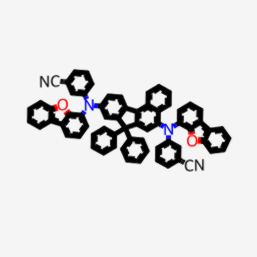 N#Cc1cccc(N(c2ccc3c(c2)C(c2ccccc2)(c2ccccc2)c2cc(N(c4cccc(C#N)c4)c4cccc5c4oc4ccccc45)c4ccccc4c2-3)c2cccc3c2oc2ccccc23)c1